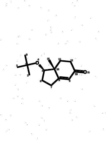 CC(C)(C)O[C@@H]1CCC2=CC(=O)CC[C@]21C